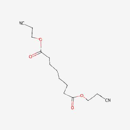 N#CCCOC(=O)CCCCCCC(=O)OCCC#N